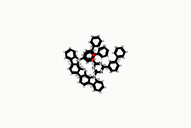 c1ccc(-c2ccc(-n3c4ccccc4c4ccc5c6ccc7c8ccccc8n(-c8nc(-c9cccc(-c%10ccccc%10)c9)nc(-c9cccc(-c%10ccccc%10)c9)n8)c7c6sc5c43)cc2)cc1